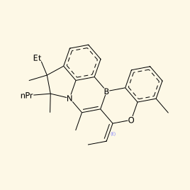 C/C=C1/Oc2c(C)cccc2B2C1=C(C)N1c3c2cccc3C(C)(CC)C1(C)CCC